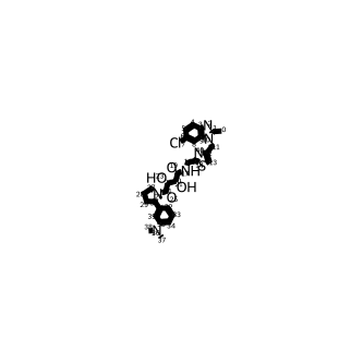 Cc1nc2ccc(Cl)cc2n1Cc1csc(CNC(=O)C(O)C(O)C(=O)N2CCCC2c2cccc(N(C)C)c2)n1